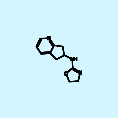 c1cnc2c(c1)CC(NC1=NCCO1)C2